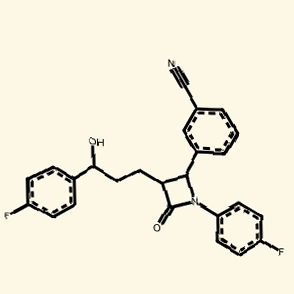 N#Cc1cccc(C2C(CCC(O)c3ccc(F)cc3)C(=O)N2c2ccc(F)cc2)c1